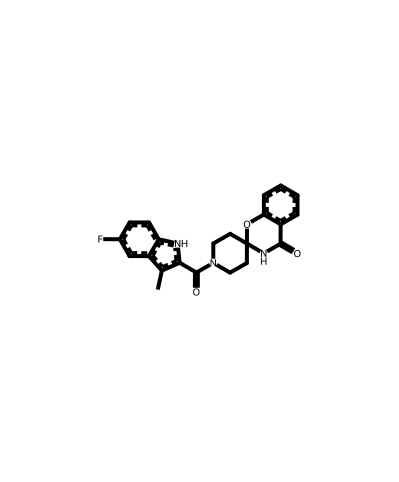 Cc1c(C(=O)N2CCC3(CC2)NC(=O)c2ccccc2O3)[nH]c2ccc(F)cc12